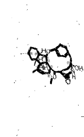 C=C[C@@H]1C=C(C)[C@H]2[C@@H]3[C@H](OC4=CC=C(CC4)C[C@@]4(O)CC(C(=O)N4)C(=O)[C@@H]13)[C@@H]1CC[C@@H](C)C[C@]12C